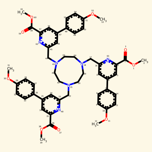 COC(=O)c1cc(-c2ccc(OC)cc2)cc(CN2CCN(Cc3cc(-c4ccc(OC)cc4)cc(C(=O)OC)n3)CCN(Cc3cc(-c4ccc(OC)cc4)cc(C(=O)OC)n3)CC2)n1